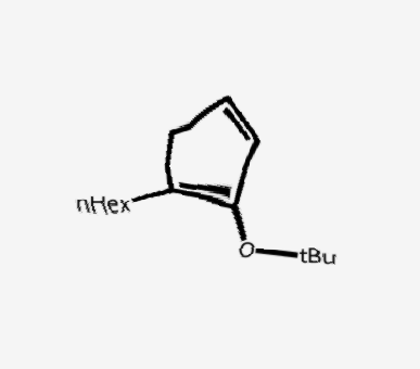 CCCCCCC1=C(OC(C)(C)C)C=CC1